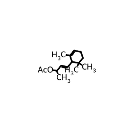 CC(=O)OC(C)C=CC1C(C)=CCCC1(C)C